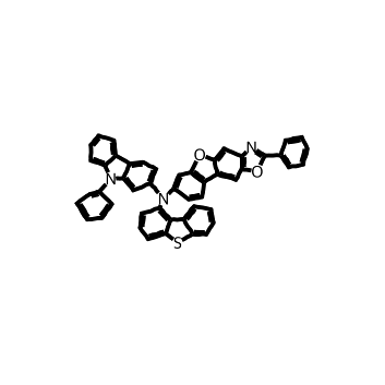 c1ccc(-c2nc3cc4oc5cc(N(c6ccc7c8ccccc8n(-c8ccccc8)c7c6)c6cccc7sc8ccccc8c67)ccc5c4cc3o2)cc1